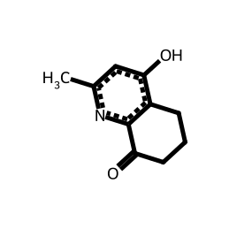 Cc1cc(O)c2c(n1)C(=O)CCC2